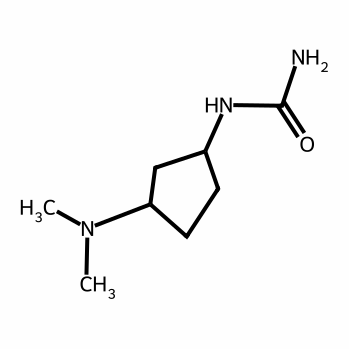 CN(C)C1CCC(NC(N)=O)C1